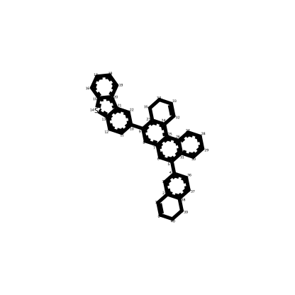 C1=Cc2cc(-c3cc4cc(-c5ccc6sc7ccccc7c6c5)c5c(c4c4ccccc34)C=CCC5)ccc2CC1